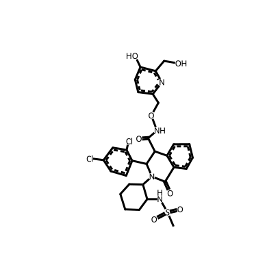 CS(=O)(=O)NC1CCCCC1N1C(=O)c2ccccc2C(C(=O)NOCc2ccc(O)c(CO)n2)C1c1ccc(Cl)cc1Cl